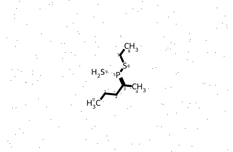 CCCC(C)=PSCC.S